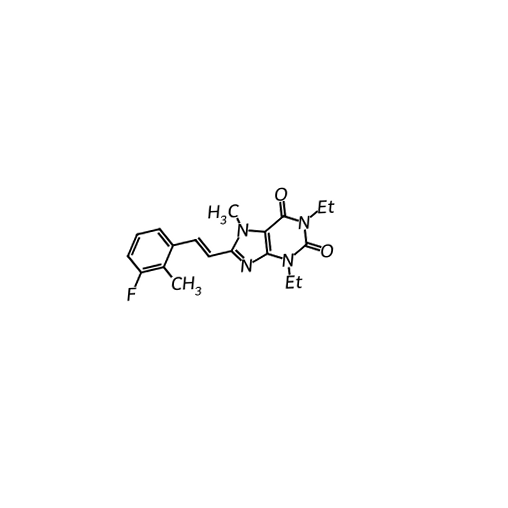 CCn1c(=O)c2c(nc(/C=C/c3cccc(F)c3C)n2C)n(CC)c1=O